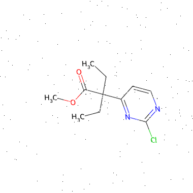 CCC(CC)(C(=O)OC)c1ccnc(Cl)n1